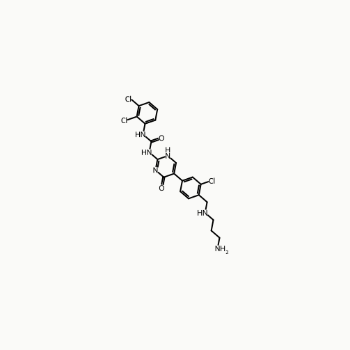 NCCCNCc1ccc(-c2c[nH]c(NC(=O)Nc3cccc(Cl)c3Cl)nc2=O)cc1Cl